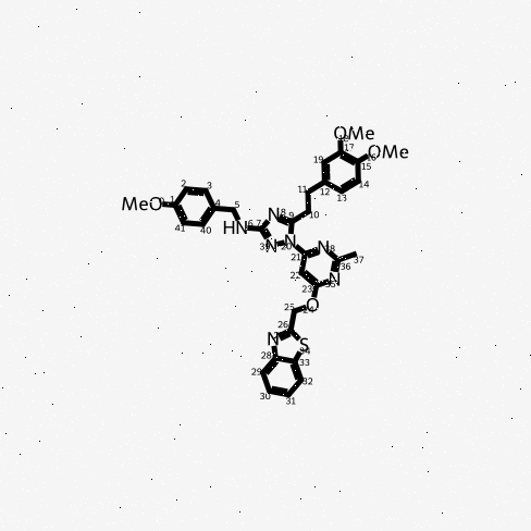 COc1ccc(CNc2nc(CCc3ccc(OC)c(OC)c3)n(-c3cc(OCc4nc5ccccc5s4)nc(C)n3)n2)cc1